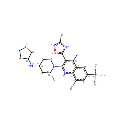 Cc1noc(-c2c(N3CC[C@@H](NC4CCOC4)C[C@H]3C)nc3c(F)cc(C(F)(F)F)cc3c2C)n1